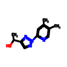 Cc1cnc(-n2ncc(C(C)O)n2)cc1C